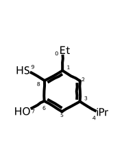 CCc1cc(C(C)C)cc(O)c1S